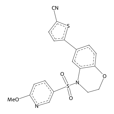 COc1ccc(S(=O)(=O)N2CCOc3ccc(-c4ccc(C#N)s4)cc32)cn1